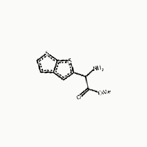 COC(=O)C(N)c1cc2ccsc2s1